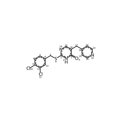 O=c1[nH]c(SCc2ccc(Cl)c(Cl)c2)ncc1Cc1ccncc1